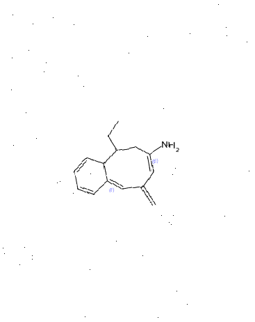 C=C1/C=C(/N)CC(CC)C2C=CC=C/C2=C/1